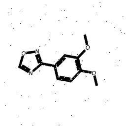 COc1ccc(-c2ncon2)cc1OC